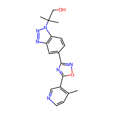 Cc1ccncc1-c1nc(-c2ccc3c(c2)nnn3C(C)(C)CO)no1